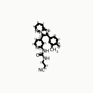 Cc1cc(-c2nc3cccnn3c2-c2ccnc(NC(=O)NCCC#N)c2)ccc1F